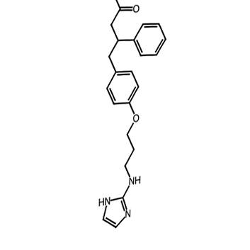 O=C(O)CC(Cc1ccc(OCCCNc2ncc[nH]2)cc1)c1ccccc1